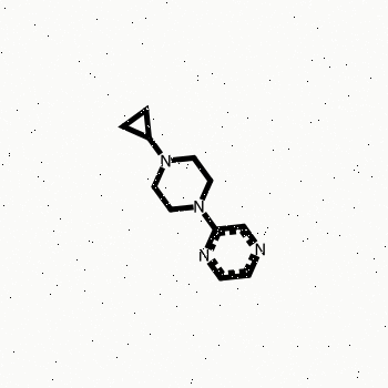 c1cnc(N2CCN(C3CC3)CC2)cn1